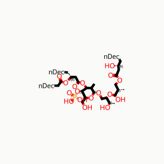 CCCCCCCCCCCC(=O)O[C@H](CCCCCCCCCCC)CC(=O)OC1C(C)[C@H](OCC(OC(O)[C@@H](C)COC(=O)C[C@H](O)CCCCCCCCCCC)[C@H](C)O)OC(CO)[C@H]1OP(=O)(O)O